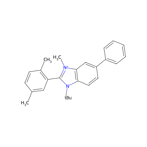 Cc1ccc(C)c(-c2n(C(C)(C)C)c3ccc(-c4ccccc4)cc3[n+]2C)c1